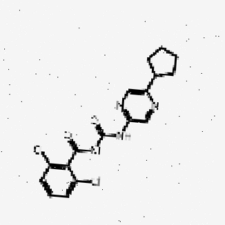 O=C(NC(=O)c1c(Cl)cccc1Cl)Nc1cnc(C2CCCC2)cn1